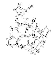 NC(C(=O)N1C[C@@H]2CCC[C@@H]2[C@H]1C(=O)N[C@@H](C[C@@H]1CCNC1=O)C(=O)c1nc2cccnc2s1)C12CC3CC1CC3C2